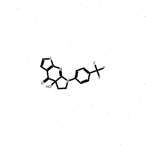 O=C1c2ccsc2N=C2N(c3ccc(C(F)(F)F)cc3)CCC12O